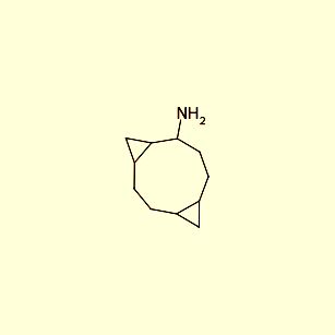 NC1CCC2CC2CCC2CC12